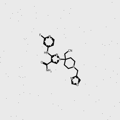 N#CCC1(n2cc(C(N)=O)c(Nc3ccnc(F)c3)n2)CCN(Cc2cocn2)CC1